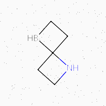 B1CCC12CCN2